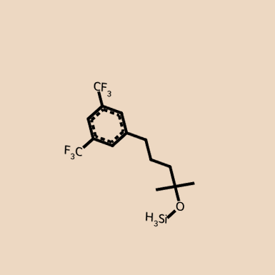 CC(C)(CCCc1cc(C(F)(F)F)cc(C(F)(F)F)c1)O[SiH3]